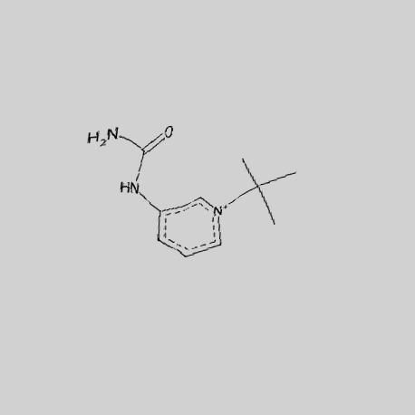 CC(C)(C)[n+]1cccc(NC(N)=O)c1